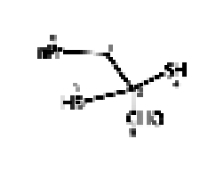 CCCCC(S)(S)C=O